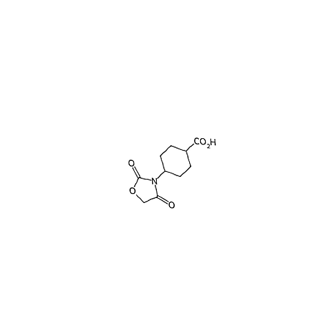 O=C(O)C1CCC(N2C(=O)COC2=O)CC1